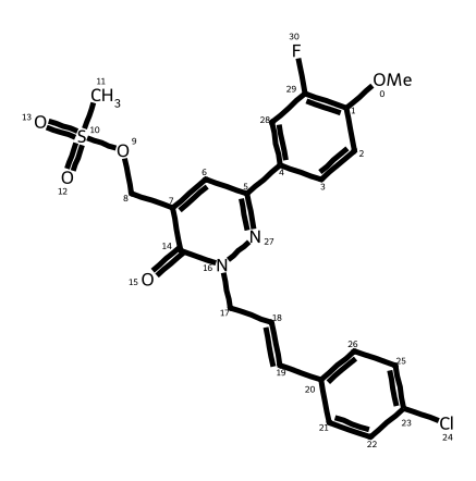 COc1ccc(-c2cc(COS(C)(=O)=O)c(=O)n(CC=Cc3ccc(Cl)cc3)n2)cc1F